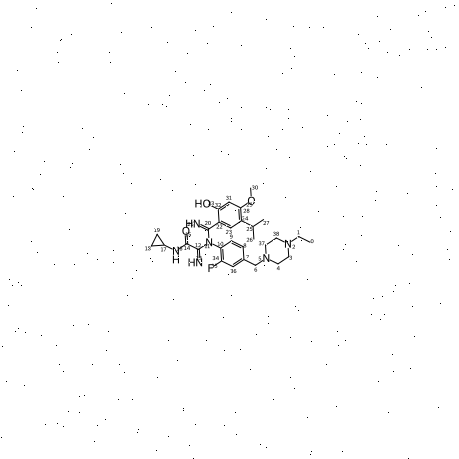 CCN1CCN(Cc2ccc(N(C(=N)C(=O)NC3CC3)C(=N)c3cc(C(C)C)c(OC)cc3O)c(F)c2)CC1